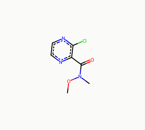 CON(C)C(=O)c1nccnc1Cl